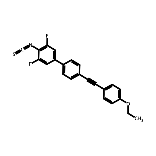 CCOc1ccc(C#Cc2ccc(-c3cc(F)c(N=C=S)c(F)c3)cc2)cc1